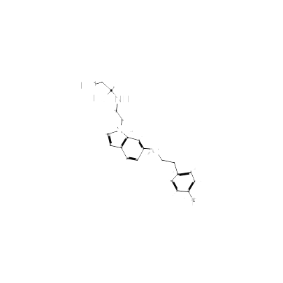 CC(C)(CO)NCCn1ccc2ccc(OCCc3ccc(F)cc3)cc21